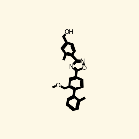 COCc1cc(-c2nc(-c3ccc(CO)cc3C)no2)ccc1-c1ccccc1C